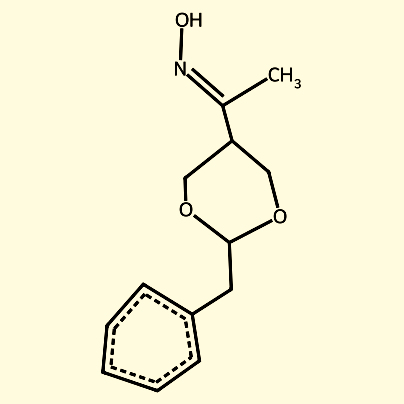 CC(=NO)C1COC(Cc2ccccc2)OC1